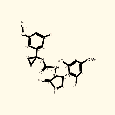 COc1cc(F)c([C@@H]2CNC(=O)[C@H]2NC(=O)NC2(c3cc(Cl)cc(OC(F)(F)F)c3)CC2)c(F)c1